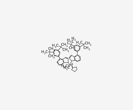 CC(C)(C)c1cc(-c2cccc3c2C=C[CH]3[Hf]([CH3])([CH3])(=[C]2CCCC2)[CH]2C=Cc3c(-c4cc(C(C)(C)C)cc(C(C)(C)C)c4)cccc32)cc(C(C)(C)C)c1